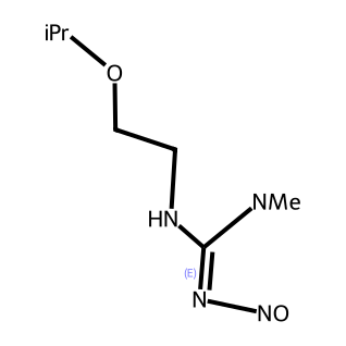 CN/C(=N\N=O)NCCOC(C)C